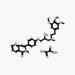 COc1cc(CCN(C)CC(O)COc2ccc(-c3cc4ncccc4c(=O)n3C)cc2)cc(OC)c1OC.O=C(O)C(=O)O